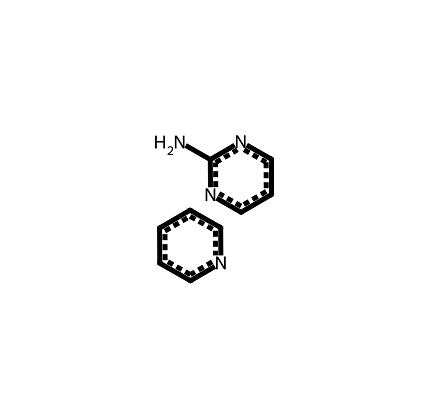 Nc1ncccn1.c1ccncc1